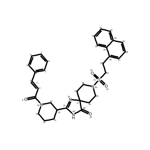 O=C(/C=C/c1ccccc1)N1CCCC(C2=NC3(CCN(S(=O)(=O)CCc4cccc5ccccc45)CC3)C(=O)N2)C1